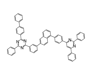 c1ccc(-c2ccc(-c3nc(-c4ccccc4)nc(-c4cccc(-c5ccc6c(-c7ccc(-c8cc(-c9ccccc9)nc(-c9ccccc9)n8)cc7)cccc6c5)c4)n3)cc2)cc1